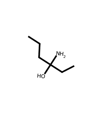 CCCC(N)(O)CC